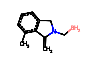 BCN1Cc2cccc(C)c2C1=C